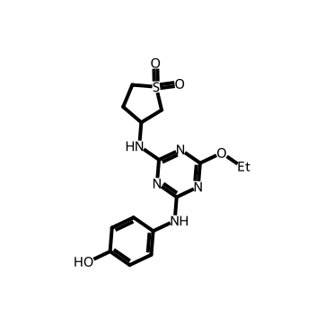 CCOc1nc(Nc2ccc(O)cc2)nc(NC2CCS(=O)(=O)C2)n1